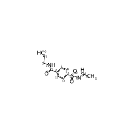 C#CCNC(=O)c1ccc(S(=O)(=O)N=[SH]C)cc1